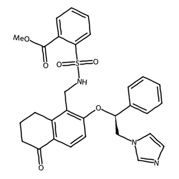 COC(=O)c1ccccc1S(=O)(=O)NCc1c(O[C@H](Cn2ccnc2)c2ccccc2)ccc2c1CCCC2=O